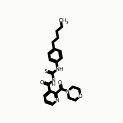 CCCCCc1ccc(NC(=S)NC(=O)c2cccnc2C(=O)N2CCOCC2)cc1